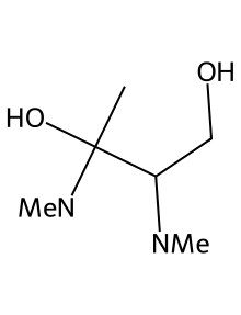 CNC(CO)C(C)(O)NC